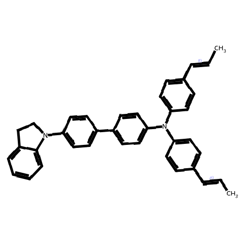 C/C=C/c1ccc(N(c2ccc(/C=C/C)cc2)c2ccc(-c3ccc(N4CCc5ccccc54)cc3)cc2)cc1